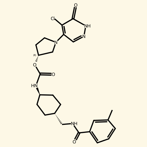 Cc1cccc(C(=O)NC[C@H]2CC[C@H](NC(=O)O[C@@H]3CCN(c4cn[nH]c(=O)c4Cl)C3)CC2)c1